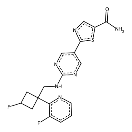 NC(=O)c1cnc(-c2cnc(NCC3(c4ncccc4F)CC(F)C3)nc2)s1